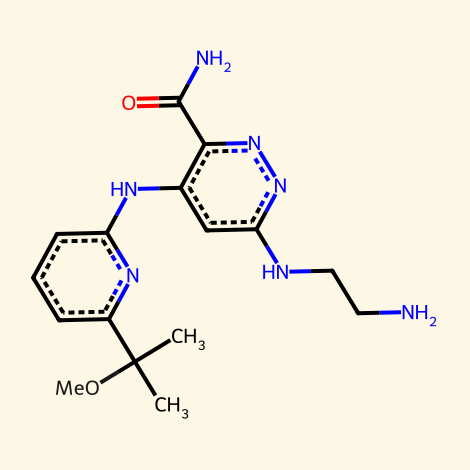 COC(C)(C)c1cccc(Nc2cc(NCCN)nnc2C(N)=O)n1